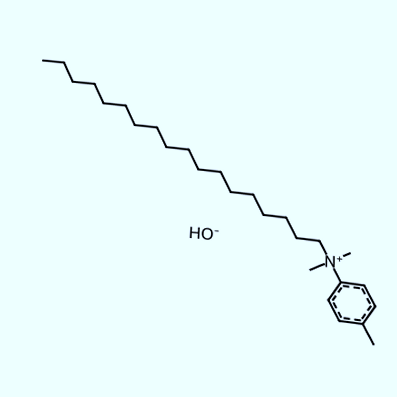 CCCCCCCCCCCCCCCCCC[N+](C)(C)c1ccc(C)cc1.[OH-]